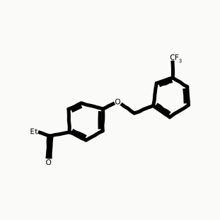 CCC(=O)c1ccc(OCc2cccc(C(F)(F)F)c2)cc1